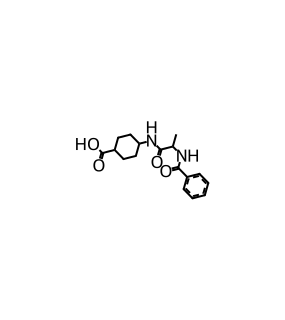 CC(NC(=O)c1ccccc1)C(=O)NC1CCC(C(=O)O)CC1